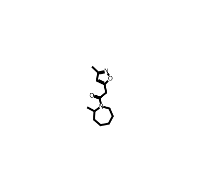 Cc1cc(CC(=O)N2CCCCCC2C)on1